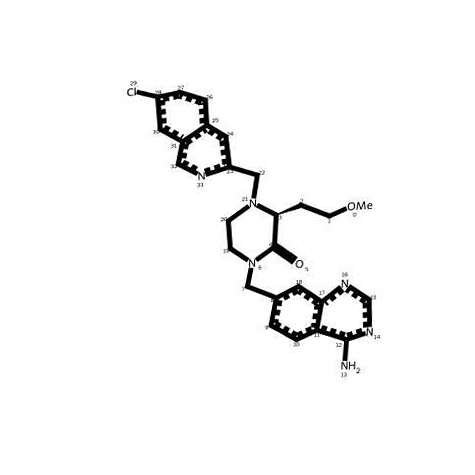 COCC[C@H]1C(=O)N(Cc2ccc3c(N)ncnc3c2)CCN1Cc1cc2ccc(Cl)cc2cn1